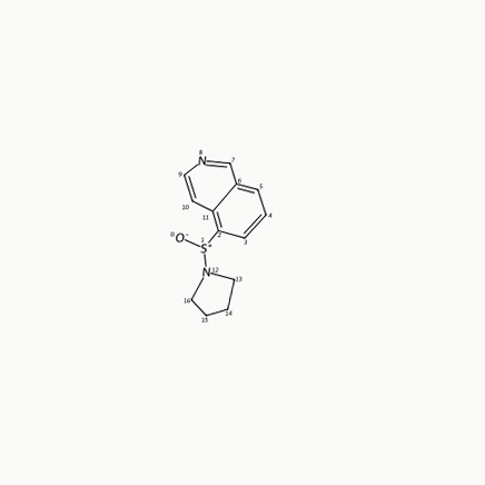 [O-][S+](c1cccc2cnccc12)N1CCCC1